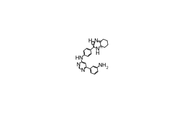 Nc1cccc(-c2cc(Nc3ccc(C(=O)N[C@H]4CCCC[C@@H]4N)cc3)ncn2)c1